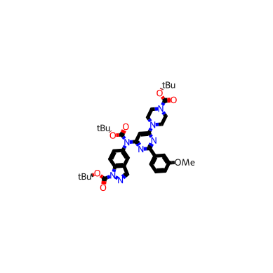 COc1cccc(-c2nc(N3CCN(C(=O)OC(C)(C)C)CC3)cc(N(C(=O)OC(C)(C)C)c3ccc4c(cnn4C(=O)OC(C)(C)C)c3)n2)c1